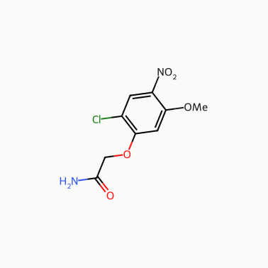 COc1cc(OCC(N)=O)c(Cl)cc1[N+](=O)[O-]